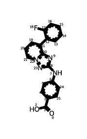 O=C(O)c1ccc(Nc2nc3c(-c4ccccc4F)cccn3n2)cc1